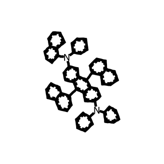 c1ccc(N(c2ccccc2)c2ccc3c(-c4cccc5ccccc45)c4cc(N(c5ccccc5)c5cccc6ccccc56)ccc4c(-c4cccc5ccccc45)c3c2)cc1